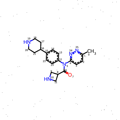 Cc1ccc(N(C(=O)C2CNC2)c2ccc(C3CCNCC3)cc2)nn1